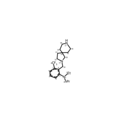 CCCN(CC)c1cccc(C(F)(F)F)c1CN1CCC2(CCNCC2)C1